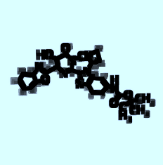 Cn1c(-c2nc3ccc(NC(=O)OC(C)(C)C)cc3n2C2CCC2)nc(-c2nc3ccccc3o2)c(O)c1=O